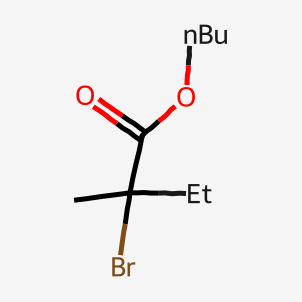 CCCCOC(=O)C(C)(Br)CC